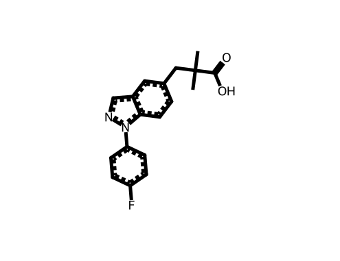 CC(C)(Cc1ccc2c(cnn2-c2ccc(F)cc2)c1)C(=O)O